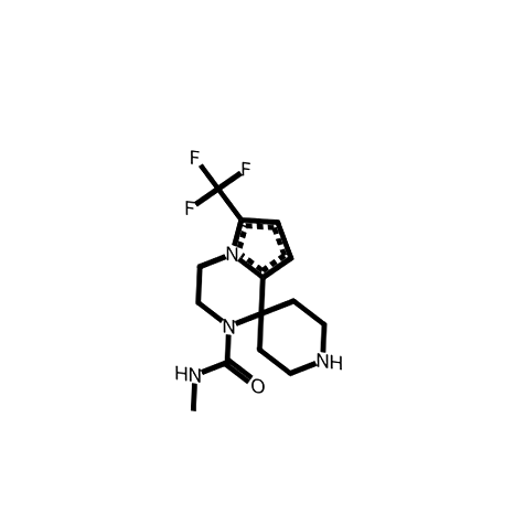 CNC(=O)N1CCn2c(C(F)(F)F)ccc2C12CCNCC2